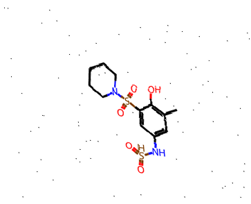 Cc1cc(N[SH](=O)=O)cc(S(=O)(=O)N2CCCCC2)c1O